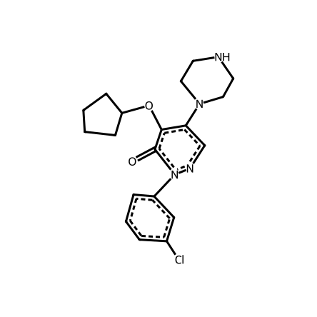 O=c1c(OC2CCCC2)c(N2CCNCC2)cnn1-c1cccc(Cl)c1